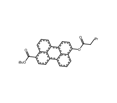 CC(C)COC(=O)c1ccc2c3cccc4c(OC(=O)CC(C)C)ccc(c5cccc1c52)c43